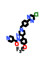 O=C(Nc1cc(OC(F)(F)F)ccc1C1CCN(Cc2ccc(-c3ncc(Cl)cn3)cc2)CC1)c1ccncc1